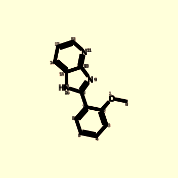 COc1ccccc1-c1nc2ncccc2[nH]1